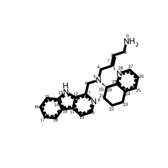 NC/C=C/CN(Cc1nccc2c1[nH]c1ccccc12)[C@H]1CCCc2cccnc21